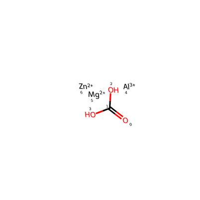 O=C(O)O.[Al+3].[Mg+2].[Zn+2]